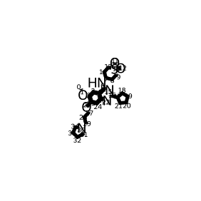 COc1cc2c(NC3CCS(=O)(=O)CC3)nc(C3CCCC3)nc2cc1OCCCN1CCCC1